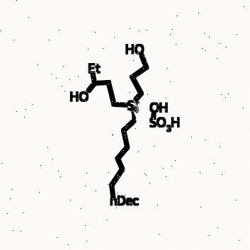 CCCCCCCCCCCCCCCC[S@@+](CCCO)CCC(O)CC.O=S(=O)(O)O